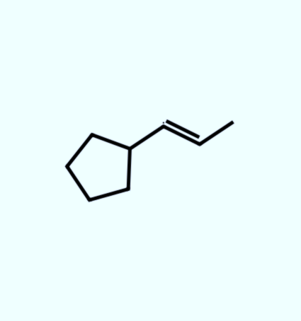 C/C=[C]/C1CCCC1